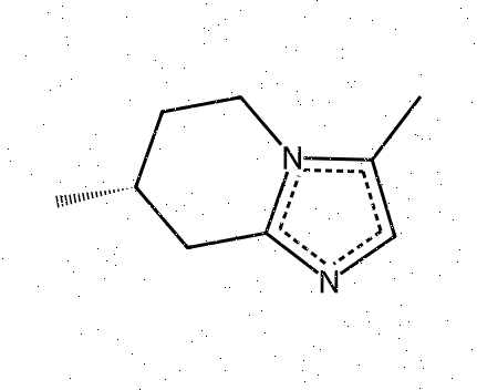 Cc1cnc2n1CC[C@@H](C)C2